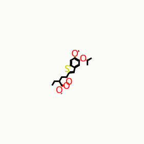 CCC(CC(=O)c1cc2cc(OC(C)C)c(OC)cc2s1)C(=O)OC